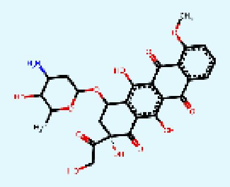 COc1cccc2c1C(=O)c1c(O)c3c(c(O)c1C2=O)C(=O)[C@@](O)(C(=O)CO)CC3OC1CC(N)C(O)C(C)O1